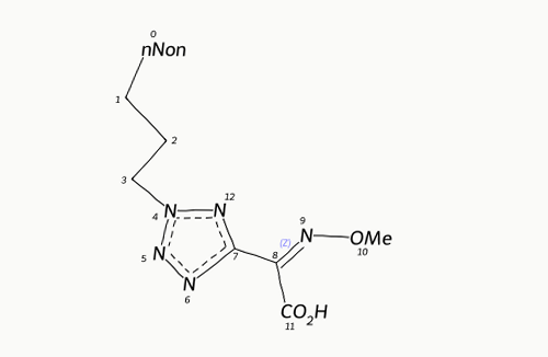 CCCCCCCCCCCCn1nnc(/C(=N/OC)C(=O)O)n1